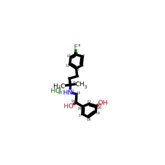 CC(C)(CCc1ccc(F)cc1)NCC(O)c1cccc(O)c1.Cl